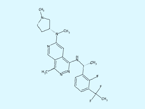 Cc1nnc(N[C@H](C)c2cccc(C(C)(F)F)c2F)c2cc(N(C)[C@@H]3CCN(C)C3)ncc12